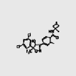 Cc1cc(C2=NOC(c3cc(Cl)cc(Cl)c3)(C(F)(F)F)C2O)ccc1C(=O)NC1(C)CSC1